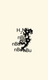 CCCCc1nc2c(N)nc3ccsc3c2n1Cc1ccc(CN(CCN(CCCC)CCCC)CCN(CCCC)CCCC)cc1